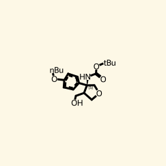 CCCCOc1ccc([C@]2(NC(=O)OC(C)(C)C)COCC2CO)cc1